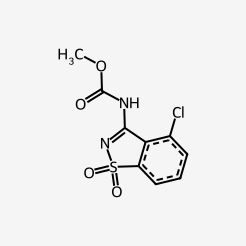 COC(=O)NC1=NS(=O)(=O)c2cccc(Cl)c21